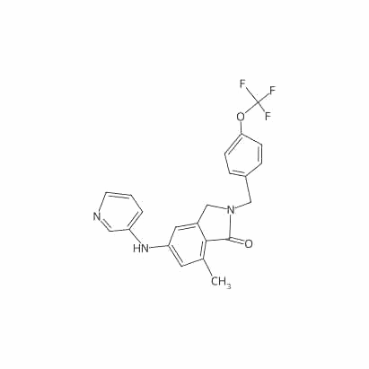 Cc1cc(Nc2cccnc2)cc2c1C(=O)N(Cc1ccc(OC(F)(F)F)cc1)C2